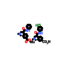 CN(C)CC(C(=O)Nc1ccccc1)c1ccc(C(=O)O)cc1.CN(C)CC(C(=O)Nc1ccccc1)c1ccc(C(=O)OC(C)(C)C)cc1.Cl